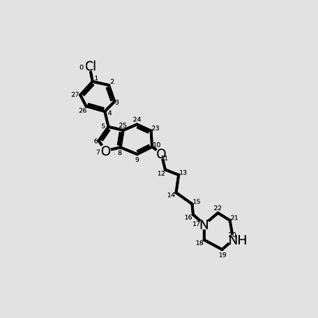 Clc1ccc(-c2coc3cc(OCCCCCN4CCNCC4)ccc23)cc1